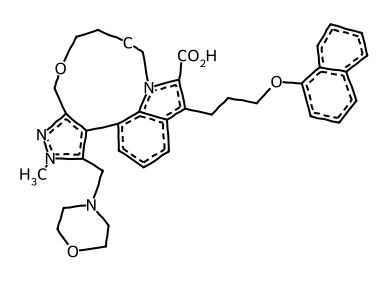 Cn1nc2c(c1CN1CCOCC1)-c1cccc3c(CCCOc4cccc5ccccc45)c(C(=O)O)n(c13)CCCCOC2